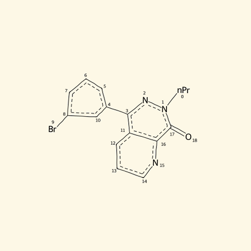 CCCn1nc(-c2cccc(Br)c2)c2cccnc2c1=O